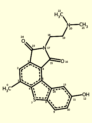 Cc1cc2c(c3c1sc1ccc(O)cc13)C(=O)N(CCN(C)C)C2=O